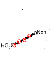 CCCCCCCCCCCCOCCOCCOCCOC(=O)O